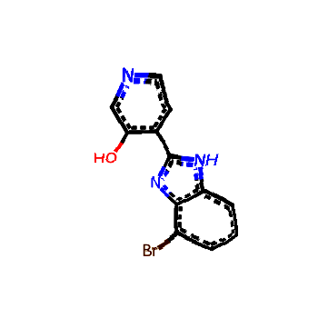 Oc1cnccc1-c1nc2c(Br)cccc2[nH]1